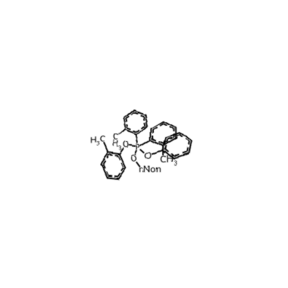 CCCCCCCCCOP(Oc1ccccc1)(Oc1ccccc1C)(c1ccccc1C)c1ccccc1C